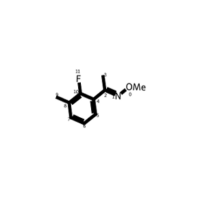 CO/N=C(\C)c1cccc(C)c1F